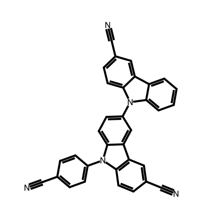 N#Cc1ccc(-n2c3ccc(C#N)cc3c3cc(-n4c5ccccc5c5cc(C#N)ccc54)ccc32)cc1